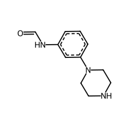 O=CNc1cccc(N2CCNCC2)c1